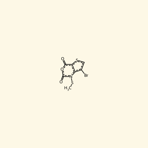 CSn1c(=O)oc(=O)c2scc(Br)c21